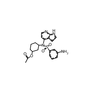 CC(=O)OC1CCCC(N(c2ccnc3[nH]ccc23)S(=O)(=O)c2cccc(N)c2)C1